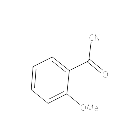 COc1ccccc1C(=O)C#N